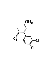 CC(=C1CC1)C(CCN)c1ccc(Cl)c(Cl)c1